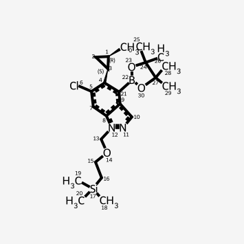 C[C@@H]1C[C@@H]1c1c(Cl)cc2c(cnn2COCC[Si](C)(C)C)c1B1OC(C)(C)C(C)(C)O1